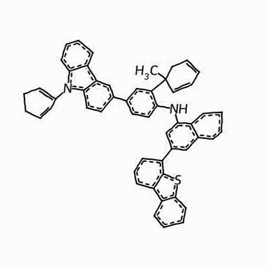 CC1(c2cc(-c3ccc4c(c3)c3ccccc3n4C3=CCCC=C3)ccc2Nc2cc(-c3cccc4c3sc3ccccc34)cc3ccccc23)C=CC=CC1